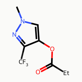 CCC(=O)Oc1cn(C)nc1C(F)(F)F